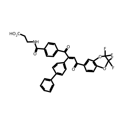 O=C(O)CCNC(=O)c1ccc(C(=O)C(=CC(=O)c2ccc3c(c2)OC(F)(F)C(F)(F)O3)c2ccc(-c3ccccc3)cc2)cc1